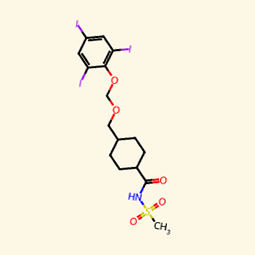 CS(=O)(=O)NC(=O)C1CCC(COCOc2c(I)cc(I)cc2I)CC1